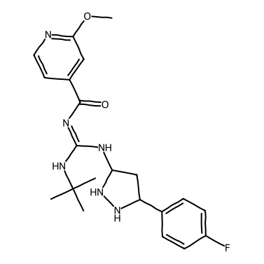 COc1cc(C(=O)/N=C(\NC2CC(c3ccc(F)cc3)NN2)NC(C)(C)C)ccn1